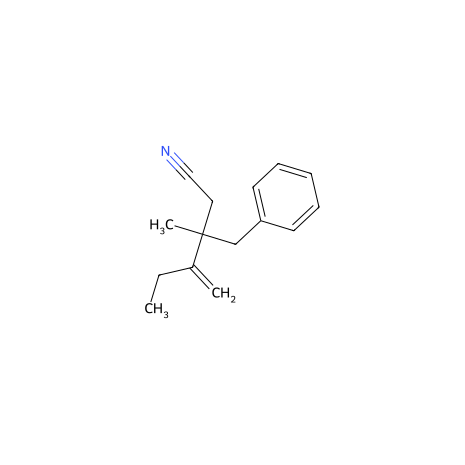 C=C(CC)C(C)(CC#N)Cc1ccccc1